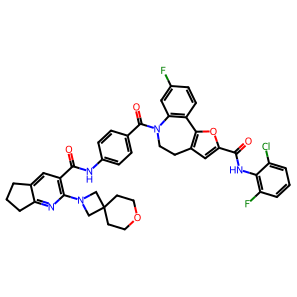 O=C(Nc1c(F)cccc1Cl)c1cc2c(o1)-c1ccc(F)cc1N(C(=O)c1ccc(NC(=O)c3cc4c(nc3N3CC5(CCOCC5)C3)CCC4)cc1)CC2